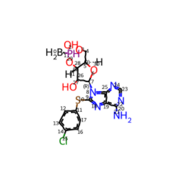 B[PH]1(O)OC[C@H]2O[C@@H](n3c(Sc4ccc(Cl)cc4)nc4c(N)ncnc43)C(O)[C@@H]2O1